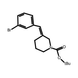 CC(C)(C)OC(=O)N1CCC/C(=C\c2cccc(Br)c2)C1